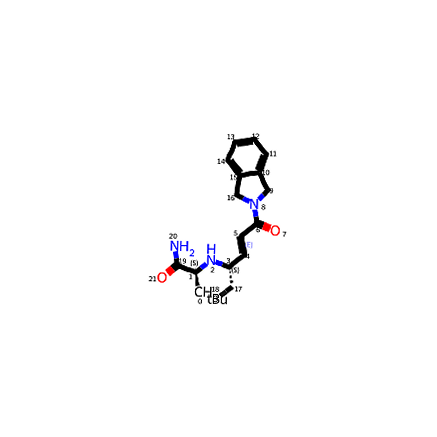 C[C@H](N[C@H](/C=C/C(=O)N1Cc2ccccc2C1)CC(C)(C)C)C(N)=O